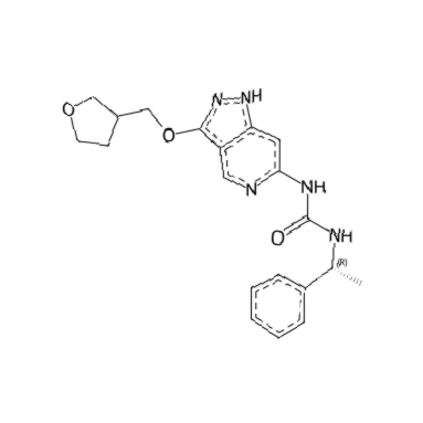 C[C@@H](NC(=O)Nc1cc2[nH]nc(OCC3CCOC3)c2cn1)c1ccccc1